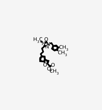 CCn1c(CCCc2ccc3oc(C(=O)OC)cc3c2)nn(Cc2ccc(C)c(C)c2)c1=O